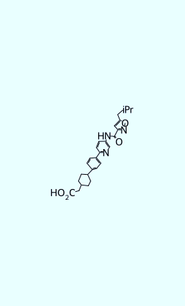 CC(C)Cc1cc(C(=O)Nc2ccc(-c3ccc(C4CCC(CC(=O)O)CC4)cc3)nc2)no1